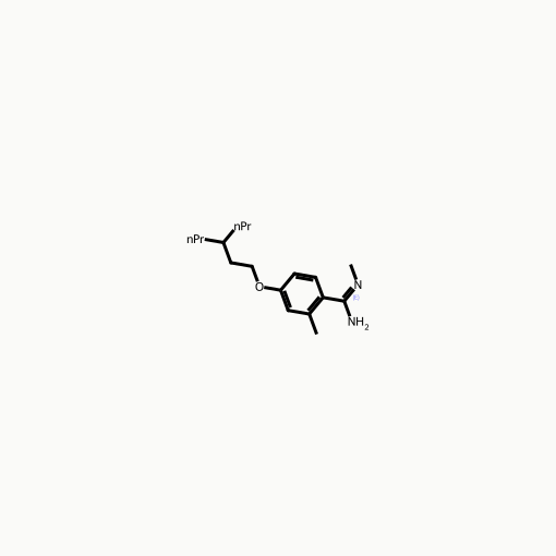 CCCC(CCC)CCOc1ccc(/C(N)=N\C)c(C)c1